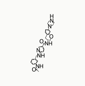 CC(=O)Nc1cccc(CNc2ccc(C(=O)N[C@H]3COc4cc(N5CCNCC5)ccc4C3)cn2)c1